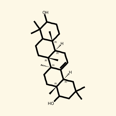 CC1(C)CC(O)[C@]2(C)CC[C@]3(C)C(=CC[C@@H]4[C@@]5(C)CCC(O)C(C)(C)C5CC[C@]43C)[C@H]2C1